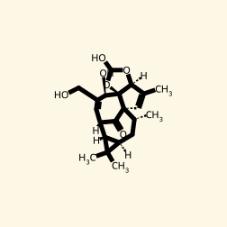 CC1=C[C@]23C(=O)[C@@H](C=C(CO)[C@@H](O)[C@@]24OC(O)O[C@@H]14)[C@@H]1[C@@H](C[C@H]3C)C1(C)C